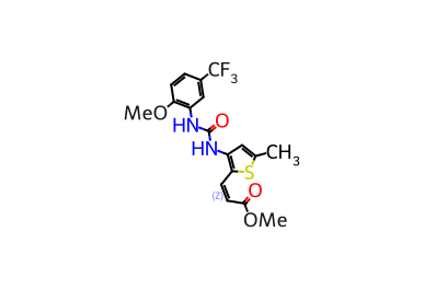 COC(=O)/C=C\c1sc(C)cc1NC(=O)Nc1cc(C(F)(F)F)ccc1OC